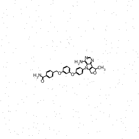 CC1OCc2c1c1ncnc(N)c1n2-c1ccc(Oc2cccc(OCc3ccc(C(N)=O)cc3)c2)cc1